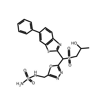 CC(O)CS(=O)(=O)C(c1nnc(CNS(N)(=O)=O)o1)c1nc2ccc(-c3ccccc3)cc2s1